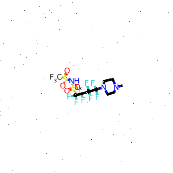 CN1CCN(C(F)(F)C(F)(F)C(F)(F)C(F)(F)S(=O)(=O)NS(=O)(=O)C(F)(F)F)CC1